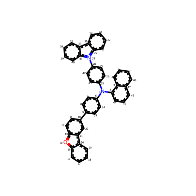 c1ccc2c(N(c3ccc(-c4ccc5oc6ccccc6c5c4)cc3)c3ccc(-n4c5ccccc5c5ccccc54)cc3)cccc2c1